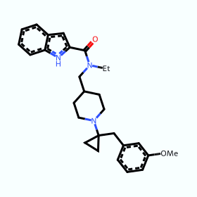 CCN(CC1CCN(C2(Cc3cccc(OC)c3)CC2)CC1)C(=O)c1cc2ccccc2[nH]1